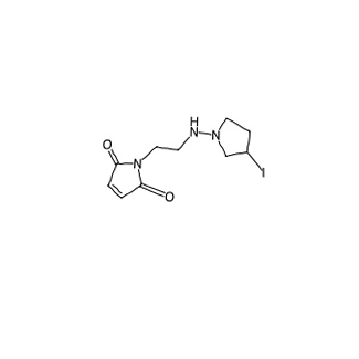 O=C1C=CC(=O)N1CCNN1CCC(I)C1